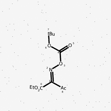 CCOC(=O)C(=NOC(=O)OC(C)(C)C)C(C)=O